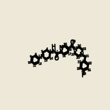 O=C(NC1CCN(c2ccccc2)CC1)c1ccc(C(=O)N2CCN(Cc3ccc(F)cc3)CC2)cn1